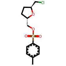 Cc1ccc(S(=O)(=O)OC[C@@H]2CC[C@@H](CCl)O2)cc1